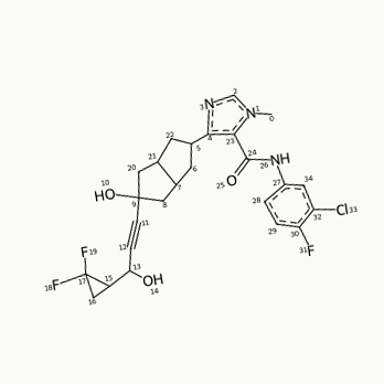 Cn1cnc(C2CC3CC(O)(C#CC(O)C4CC4(F)F)CC3C2)c1C(=O)Nc1ccc(F)c(Cl)c1